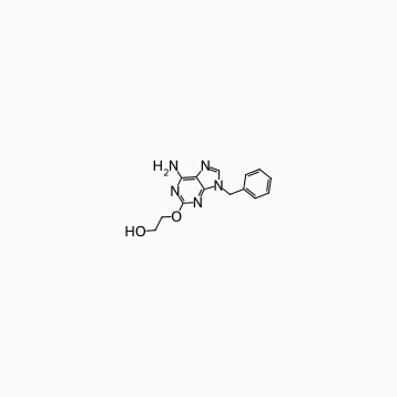 Nc1nc(OCCO)nc2c1ncn2Cc1ccccc1